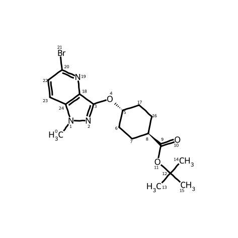 Cn1nc(O[C@H]2CC[C@H](C(=O)OC(C)(C)C)CC2)c2nc(Br)ccc21